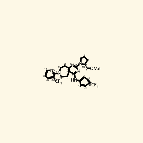 COC[C@@H]1CCCN1c1nc2c(c(Nc3ccc(C(F)(F)F)cc3)n1)CCN(c1ncccc1C(F)(F)F)CC2